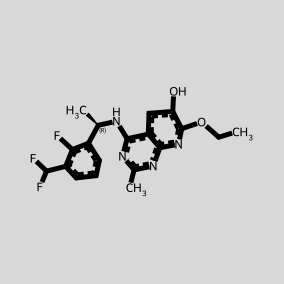 CCOc1nc2nc(C)nc(N[C@H](C)c3cccc(C(F)F)c3F)c2cc1O